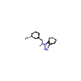 CC(C)c1cccc(CC(C)n2nnc3ccccc32)c1